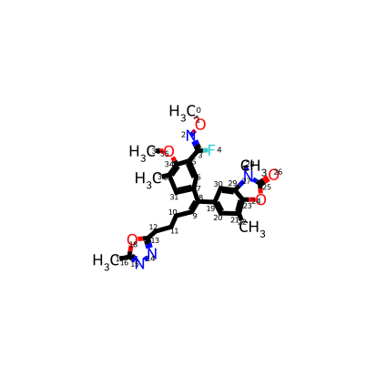 CO/N=C(\F)c1cc(/C(=C\CCCc2nnc(C)o2)c2cc(C)c3oc(=O)n(C)c3c2)cc(C)c1OC